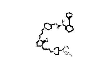 CN(C)C1CCN(CCCN2CCN(CCCN3CCC(OC(=O)Nc4ccccc4-c4ccccc4)CC3)C2=O)CC1